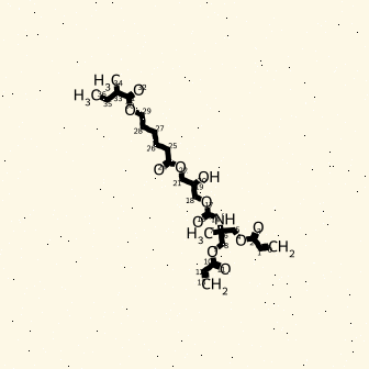 C=CC(=O)OCC(C)(COC(=O)C=C)NC(=O)OCC(O)COC(=O)CCCCCOC(=O)C(C)CC